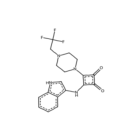 O=c1c(Nc2c[nH]c3ccccc23)c(N2CCN(CC(F)(F)F)CC2)c1=O